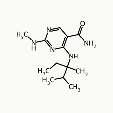 CCC(C)(Nc1nc(NC)ncc1C(N)=O)C(C)C